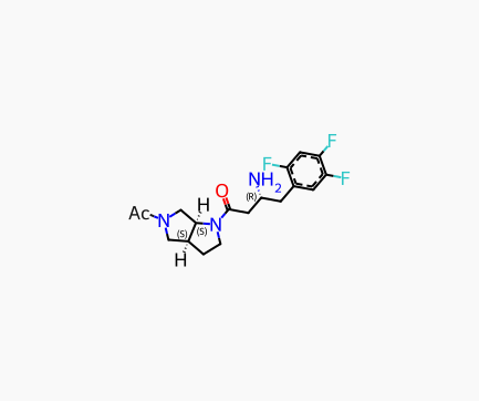 CC(=O)N1C[C@@H]2CCN(C(=O)C[C@H](N)Cc3cc(F)c(F)cc3F)[C@@H]2C1